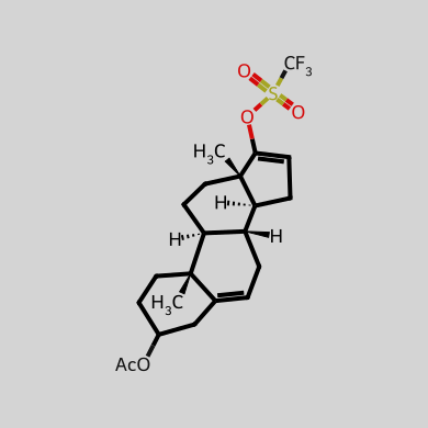 CC(=O)OC1CC[C@@]2(C)C(=CC[C@@H]3[C@@H]2CC[C@]2(C)C(OS(=O)(=O)C(F)(F)F)=CC[C@@H]32)C1